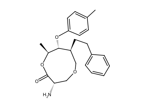 Cc1ccc(O[C@@H]2[C@@H](CCc3ccccc3)COC[C@H](N)C(=O)O[C@H]2C)cc1